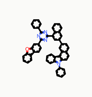 c1ccc(-c2nc(-c3ccc4c(c3)oc3ccccc34)nc(-c3cc(-c4ccc5ccc6c(c5c4)c4ccccc4n6-c4ccccc4)cc4ccccc34)n2)cc1